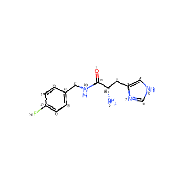 N[C@@H](Cc1c[nH]cn1)C(=O)NCc1ccc(F)cc1